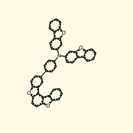 c1ccc2c(c1)oc1cc(N(c3ccc(-c4ccc5oc6ccc7oc8ccccc8c7c6c5c4)cc3)c3ccc4c(c3)oc3ccccc34)ccc12